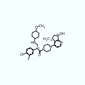 COC1CCC(NC[C@@H](C(=O)N2CCN(c3ccnc4c3[C@H](C)C[C@H]4O)CC2)c2ccc(Cl)c(F)c2)CC1